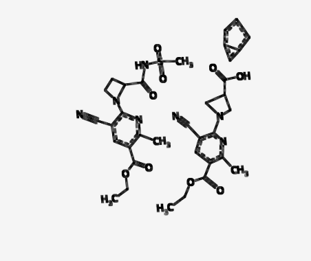 CCOC(=O)c1cc(C#N)c(N2CC(C(=O)O)C2)nc1C.CCOC(=O)c1cc(C#N)c(N2CCC2C(=O)NS(C)(=O)=O)nc1C.c1cc2cc-2c1